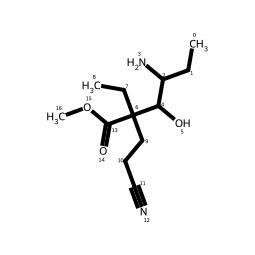 CCC(N)C(O)C(CC)(CCC#N)C(=O)OC